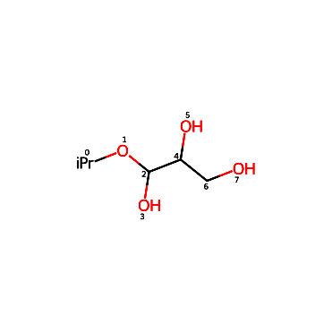 CC(C)OC(O)C(O)CO